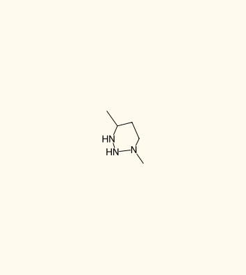 CC1CCN(C)NN1